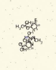 C=NN(/C(=C\C)OCc1ccc(F)cc1OC(C)C)c1cc(C(=O)O)ccn1